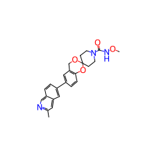 CONC(=O)N1CCC2(CC1)OCc1cc(-c3ccc4cnc(C)cc4c3)ccc1O2